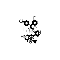 CC1CNCC(CCc2c(F)cncc2NC(=O)[C@@H](N)[C@@H](c2ccc(Cl)cc2)c2cccc(F)c2)N1S(=O)(=O)C1CC1